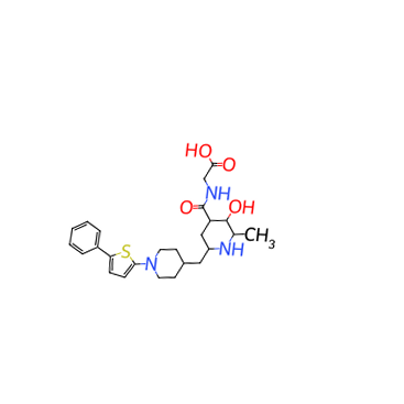 CC1NC(CC2CCN(c3ccc(-c4ccccc4)s3)CC2)CC(C(=O)NCC(=O)O)C1O